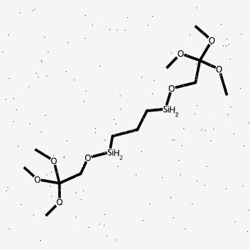 COC(CO[SiH2]CCC[SiH2]OCC(OC)(OC)OC)(OC)OC